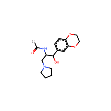 CCC(=O)NC(CN1CCCC1)C(O)c1ccc2c(c1)OCCO2